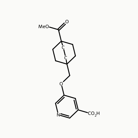 COC(=O)C12CCC(COc3cncc(C(=O)O)c3)(CC1)CC2